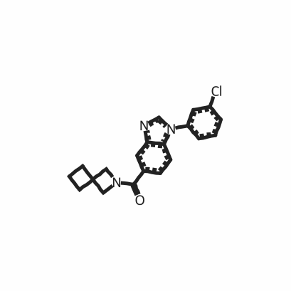 O=C(c1ccc2c(c1)ncn2-c1cccc(Cl)c1)N1CC2(CCC2)C1